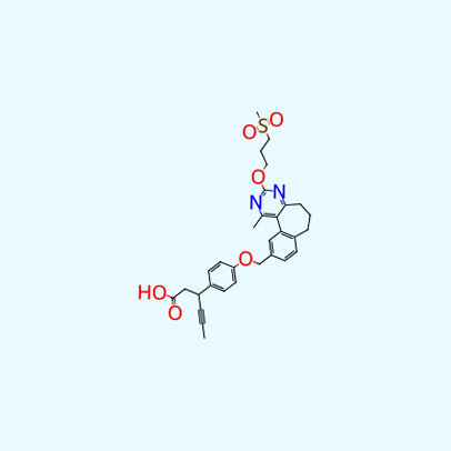 CC#CC(CC(=O)O)c1ccc(OCc2ccc3c(c2)-c2c(C)nc(OCCCS(C)(=O)=O)nc2CCC3)cc1